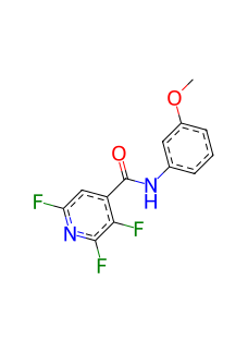 COc1cccc(NC(=O)c2cc(F)nc(F)c2F)c1